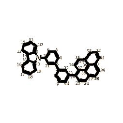 c1cc(-c2cccc(-n3c4ccccc4c4ccccc43)c2)cc(-c2ccc3ccc4cccc5ccc2c3c45)c1